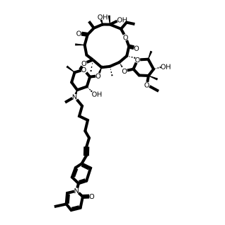 CCC1OC(=O)[C@H](C)[C@H](OC2C[C@@](C)(OC)[C@@H](O)[C@H](C)O2)[C@H](C)[C@@H](OC2O[C@H](C)C[C@H](N(C)CCCCCC#Cc3ccc(-n4cc(C)ccc4=O)cc3)[C@H]2O)[C@@](C)(OC)C[C@@H](C)C(=O)C(C)[C@@H](O)[C@]1(C)O